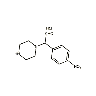 Cl.O=CC(c1ccc([N+](=O)[O-])cc1)N1CCNCC1